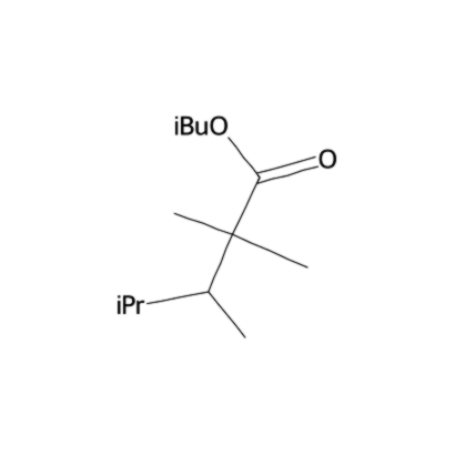 CC(C)COC(=O)C(C)(C)C(C)C(C)C